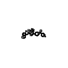 CN1CCC(C(=O)N2CCC[C@@H](c3cnc(NCc4c(F)ccc5c4CCO5)n4cnnc34)CC2)CC1